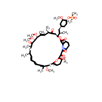 CO[C@H]1C[C@@H]2CC[C@@H](C)[C@@](O)(O2)C(=O)C(=O)N2CCCC[C@H]2C(=O)O[C@H]([C@H](C)C[C@@H]2CC[C@@H](OP(C)(C)=O)[C@H](OC)C2)CC(=O)[C@H](C)/C=C(\C)[C@@H](OC)[C@@H](OC)C(=O)[C@H](C)C[C@H](C)/C=C/C=C/C=C/1C